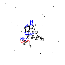 CS(=O)(=O)NCc1nc2cnc3[nH]ccc3c2n1N1CCC(CC#N)CC1